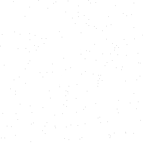 O=C(O)CC(=O)CCCCCO